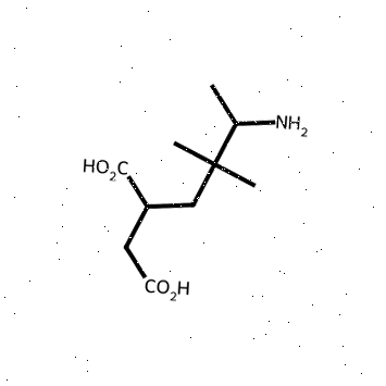 CC(N)C(C)(C)CC(CC(=O)O)C(=O)O